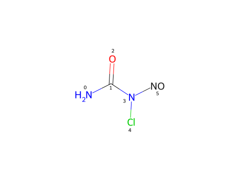 NC(=O)N(Cl)N=O